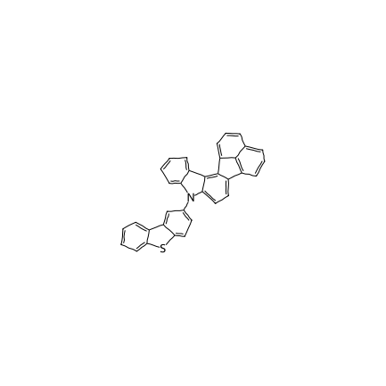 c1cc2c3c(cccc3c1)-c1c-2ccc2c1c1ccccc1n2-c1ccc2sc3ccccc3c2c1